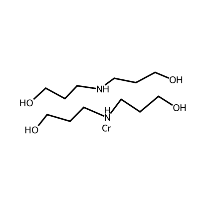 OCCCNCCCO.OCCCNCCCO.[Cr]